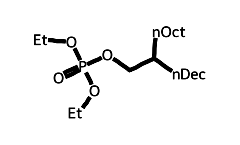 CCCCCCCCCCC(CCCCCCCC)COP(=O)(OCC)OCC